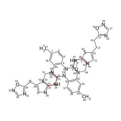 Cc1ccc(N(C(=O)Nc2ncc(CCc3ncno3)s2)N(C(=O)Nc2ncc(Cc3ncno3)s2)c2ccc(C)cc2N2CCCCC2)c(N2CCCCC2)c1